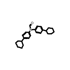 O=CN(c1ccc(C2CCCCC2)cc1)c1ccc(C2CCCCC2)cc1